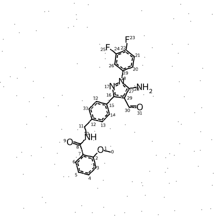 COc1ccccc1C(=O)NCc1ccc(-c2nn(-c3ccc(F)c(F)c3)c(N)c2C=O)cc1